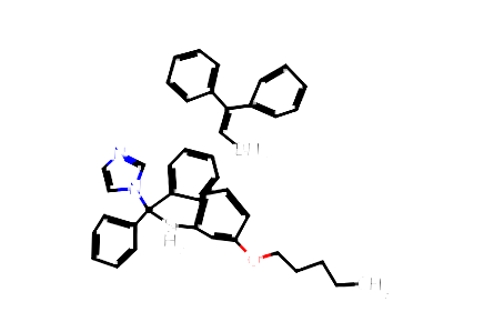 BC=C(c1ccccc1)c1ccccc1.CCCCCOc1cccc([SiH2]C(c2ccccc2)(c2ccccc2)n2ccnc2)c1